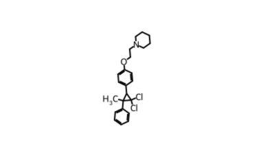 CC1(c2ccccc2)C(c2ccc(OCCN3CCCCC3)cc2)C1(Cl)Cl